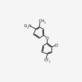 Cc1cc(Oc2ccc(C(F)(F)F)cc2Cl)ccc1[N+](=O)[O-]